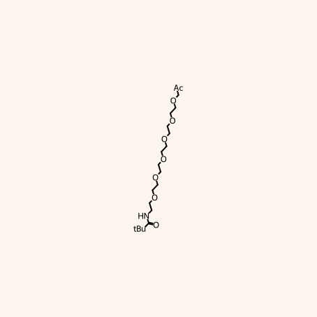 CC(=O)COCCOCCOCCOCCOCCOCCNC(=O)C(C)(C)C